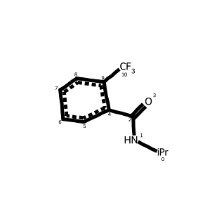 CC(C)NC(=O)c1ccccc1C(F)(F)F